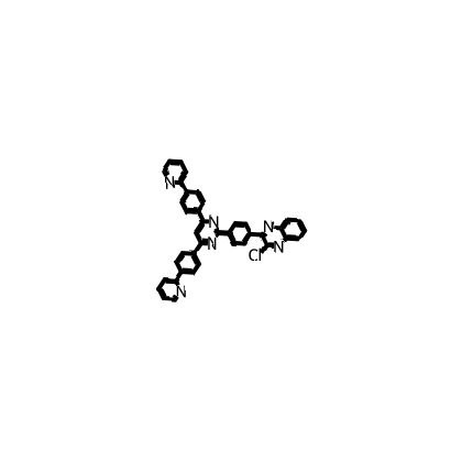 Clc1nc2ccccc2nc1-c1ccc(-c2nc(-c3ccc(-c4ccccn4)cc3)cc(-c3ccc(-c4ccccn4)cc3)n2)cc1